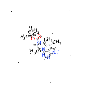 C=Cc1c[nH]c2ncnc(N3C[C@H](C)N(C(=O)OC(C)(C)C)CC3C)c12